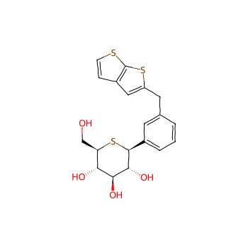 OC[C@H]1S[C@@H](c2cccc(Cc3cc4ccsc4s3)c2)[C@H](O)[C@@H](O)[C@@H]1O